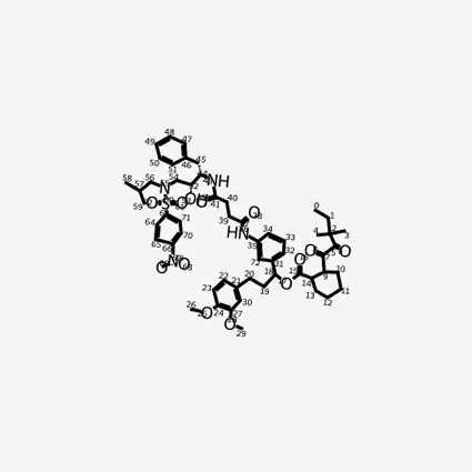 CCC(C)(C)C(=O)C(=O)C1CCCCC1C(=O)OC(CCc1ccc(OC)c(OC)c1)c1cccc(NC(=O)CCC(=O)N[C@@H](Cc2ccccc2)[C@H](O)CN(CC(C)C)S(=O)(=O)c2ccc([N+](=O)[O-])cc2)c1